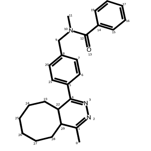 CC1=NN=C(c2ccc(CN(C)C(=O)c3ccccc3)cc2)C2CCCCCCC12